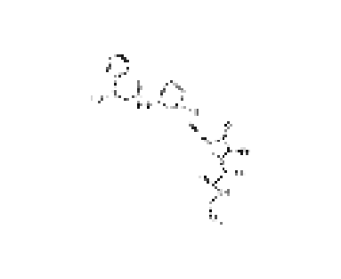 CCn1c(=O)c(=C=CNc2cccc(NC(=O)CN(C)c3ccccc3)c2)s/c1=C(/C#N)C(=O)NCC(F)(F)F